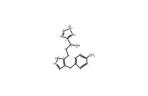 Cc1ccc(Cc2cn[nH]c2CCC(O)c2nn[nH]n2)cc1